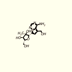 C[C@@]1(O)[C@H](O)[C@@H](CO)O[C@H]1c1cc(CO)c2c(N)ncnn12